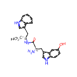 N[C@@H](Cc1c[nH]c2ccc(O)cc12)C(=O)N[C@@H](Cc1c[nH]c2ccccc12)C(=O)O